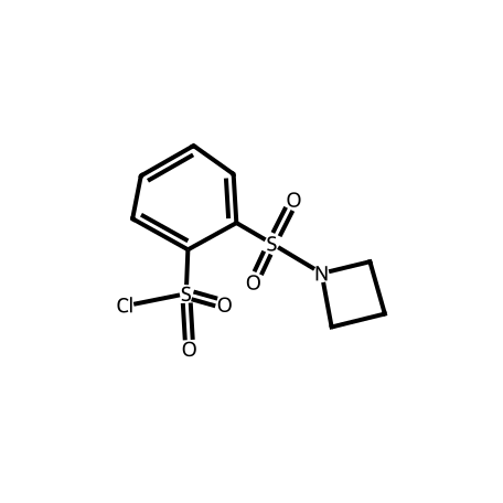 O=S(=O)(Cl)c1ccccc1S(=O)(=O)N1CCC1